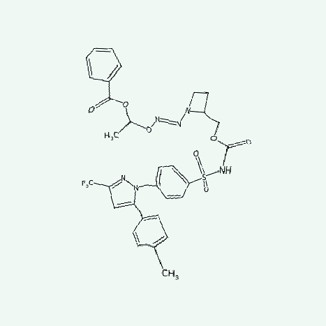 Cc1ccc(-c2cc(C(F)(F)F)nn2-c2ccc(S(=O)(=O)NC(=O)OCC3CCN3N=NOC(C)OC(=O)c3ccccc3)cc2)cc1